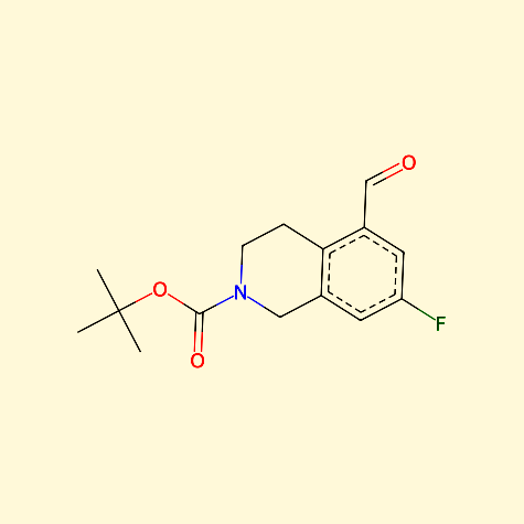 CC(C)(C)OC(=O)N1CCc2c(C=O)cc(F)cc2C1